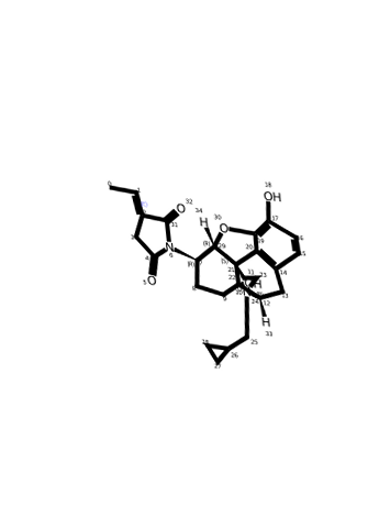 C/C=C1\CC(=O)N([C@@H]2CC[C@@]3(O)[C@H]4Cc5ccc(O)c6c5[C@@]3(CCN4CC3CC3)[C@H]2O6)C1=O